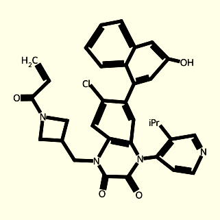 C=CC(=O)N1CC(Cn2c(=O)c(=O)n(-c3ccncc3C(C)C)c3cc(-c4cc(O)cc5ccccc45)c(Cl)cc32)C1